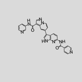 O=C(Nc1ccc2c(-c3ccn4ncc(C(=O)Nc5cccnc5)c4c3)c[nH]c2n1)c1ccncc1